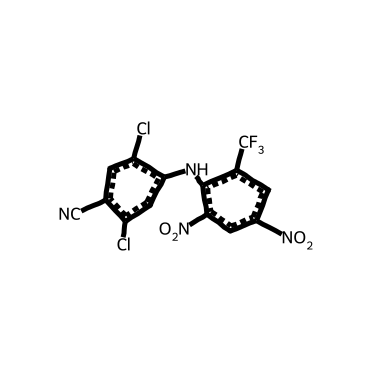 N#Cc1cc(Cl)c(Nc2c([N+](=O)[O-])cc([N+](=O)[O-])cc2C(F)(F)F)cc1Cl